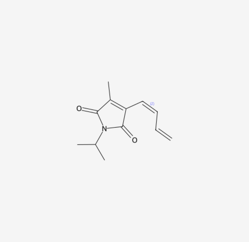 C=C/C=C\C1=C(C)C(=O)N(C(C)C)C1=O